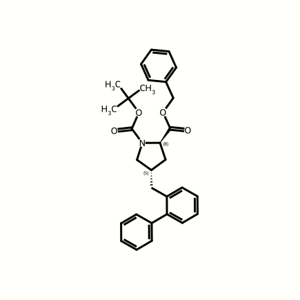 CC(C)(C)OC(=O)N1C[C@@H](Cc2ccccc2-c2ccccc2)C[C@@H]1C(=O)OCc1ccccc1